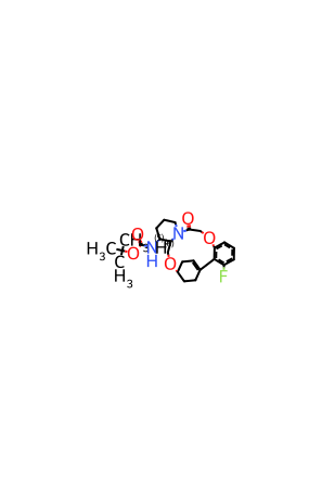 CC(C)(C)OC(=O)N[C@H]1CCCN2C(=O)COc3cccc(F)c3C3=CCC(CC3)OC[C@@H]12